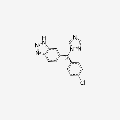 Clc1ccc([C@@H](c2ccc3nn[nH]c3c2)n2cncn2)cc1